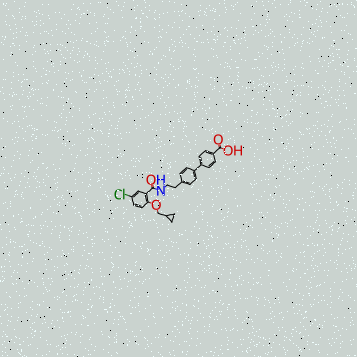 O=C(O)c1ccc(-c2ccc(CCNC(=O)c3cc(Cl)ccc3OCC3CC3)cc2)cc1